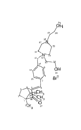 CC12CCC(C(=Cc3ccc(C[N+]4(CCO)CCN(CCO)CC4)cc3)C1=O)C2(C)C.[Br-]